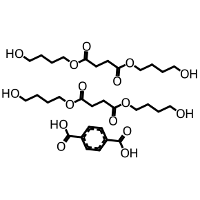 O=C(CCC(=O)OCCCCO)OCCCCO.O=C(CCC(=O)OCCCCO)OCCCCO.O=C(O)c1ccc(C(=O)O)cc1